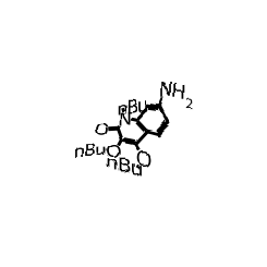 CCCCOc1c(OCCCC)c2ccc(N)cc2n(CCCC)c1=O